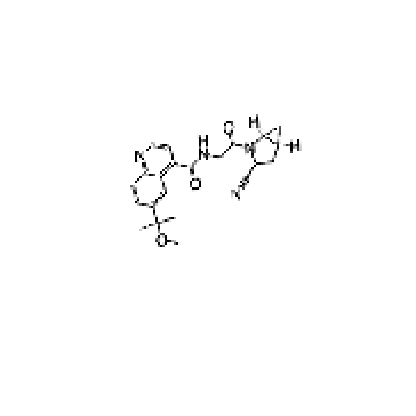 COC(C)(C)c1ccc2nccc(C(=O)NCC(=O)N3[C@H](C#N)C[C@@H]4C[C@@H]43)c2c1